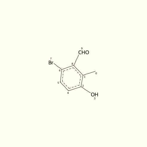 Cc1c(O)ccc(Br)c1C=O